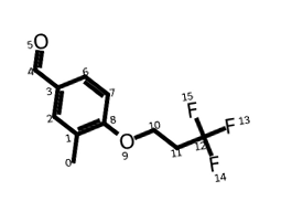 Cc1cc(C=O)ccc1OCCC(F)(F)F